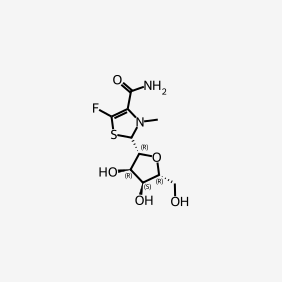 CN1C(C(N)=O)=C(F)SC1[C@@H]1O[C@H](CO)[C@@H](O)[C@H]1O